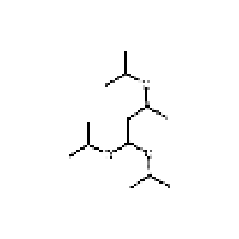 CC(C)OC(C)CC(OC(C)C)OC(C)C